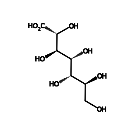 O=C(O)[C@H](O)[C@H](O)[C@H](O)[C@@H](O)[C@@H](O)CO